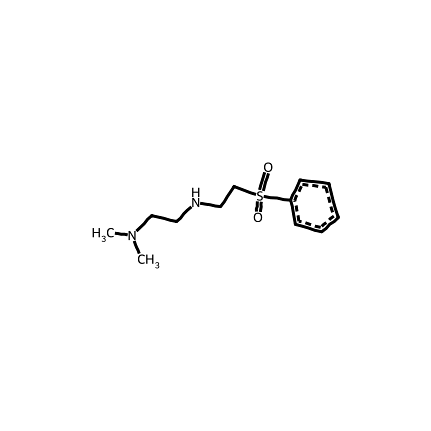 CN(C)CCNCCS(=O)(=O)c1ccccc1